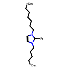 CCCCCCCCCCCCCCCCN1C=CN(CCCCCCCCCCCCCC)C1C(C)C